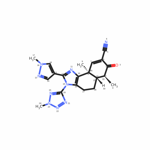 C[C@@H]1C(=O)C(C#N)=C[C@]2(C)c3nc(-c4cnn(C)c4)n(-c4nnn(C)n4)c3CC[C@@H]12